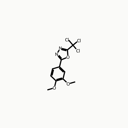 COc1ccc(-c2nnc(C(Cl)(Cl)Cl)o2)cc1OC